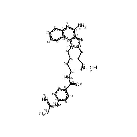 CCCCc1nc2c(N)nc3ccccc3c2n1CCCCNC(=O)c1ccc(NC(=N)N)cc1.Cl.Cl